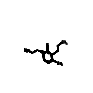 CCCc1c(C)ccn(CCC)c1=S